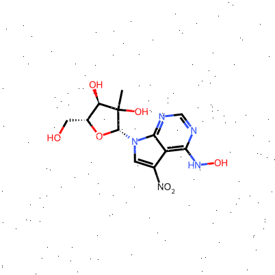 CC1(O)[C@H](O)[C@@H](CO)O[C@H]1n1cc([N+](=O)[O-])c2c(NO)ncnc21